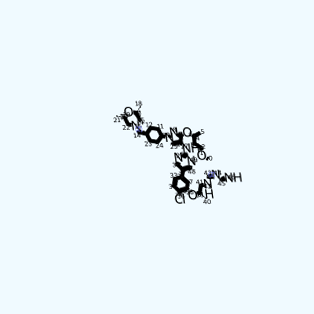 COCCC(C)Oc1nn(C2CCC(/C=[N+]3\C[C@@H](C)O[C@@H](C)C3)CC2)cc1Nc1ncc(-c2ccc(Cl)c(O[C@@H](C)CN/C=N\C=N)c2)cn1